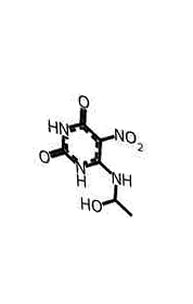 CC(O)Nc1[nH]c(=O)[nH]c(=O)c1[N+](=O)[O-]